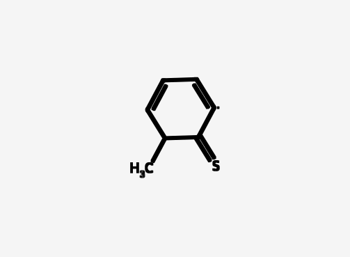 CC1C=CC=[C]C1=S